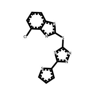 Clc1cccc2sc(Sc3nnc(-c4cccs4)s3)nc12